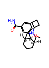 CO[C@@]1(c2cccc(C(N)=O)c2)[C@@H]2CCC[C@H]1CN(C1CCC1)C2